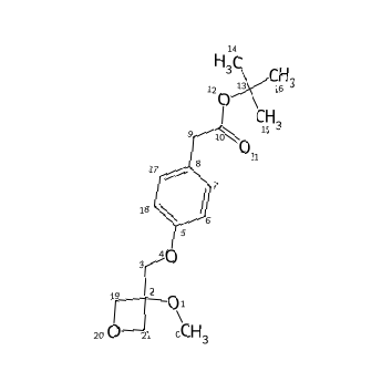 COC1(COc2ccc(CC(=O)OC(C)(C)C)cc2)COC1